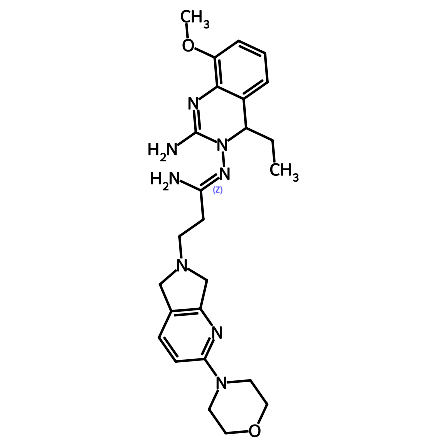 CCC1c2cccc(OC)c2N=C(N)N1/N=C(\N)CCN1Cc2ccc(N3CCOCC3)nc2C1